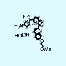 COCCOc1ccc2ccc(-c3nnc4ccc([C@@H](N5CC[C@H](N)C5)C(F)(F)F)cn34)nc2c1.Cl.Cl